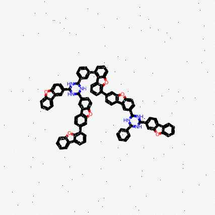 c1ccc(C2NC(c3ccc4c(c3)oc3ccccc34)NC(c3ccc4oc5cc(-c6cccc7c6oc6cccc(-c8cccc(C9NC(c%10ccc%11oc%12ccccc%12c%11c%10)NC(c%10ccc%11oc%12cc(-c%13cccc%14c%13oc%13ccccc%13%14)ccc%12c%11c%10)N9)c8)c67)ccc5c4c3)N2)cc1